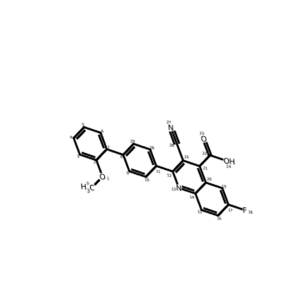 COc1ccccc1-c1ccc(-c2nc3ccc(F)cc3c(C(=O)O)c2C#N)cc1